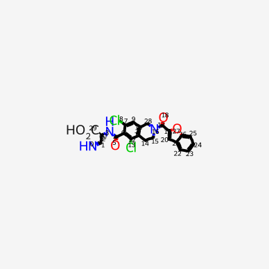 N=C[C@H](NC(=O)c1c(Cl)cc2c(c1Cl)CCN(C(=O)c1cc3ccccc3o1)C2)C(=O)O